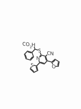 N#Cc1c(-c2ccco2)cc(-c2cccs2)nc1SC(C(=O)O)c1ccccc1